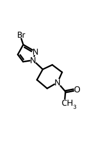 CC(=O)N1CCC(n2ccc(Br)n2)CC1